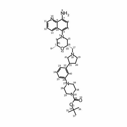 C[C@@H]1CN(c2ccc(N)c3ncccc23)C[C@H](CN2CCC(c3cccc(N4CCN(C(=O)OC(C)(C)C)CC4)c3)C2)O1